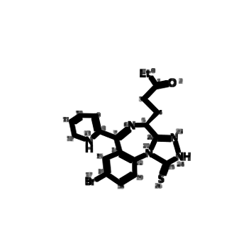 CCC(=O)CC[C@@H]1N=C(C2=CC=CCN2)c2cc(Br)ccc2-n2c1n[nH]c2=S